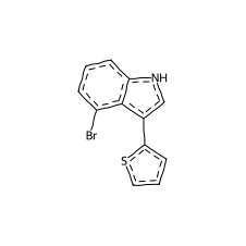 Brc1cccc2[nH]cc(-c3cccs3)c12